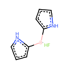 F.[B](c1ccc[nH]1)c1ccc[nH]1